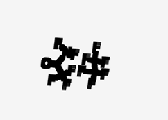 FC(F)(F)C(F)(F)F.O=C(N(F)F)C(F)(F)F